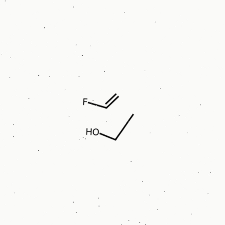 C=CF.CCO